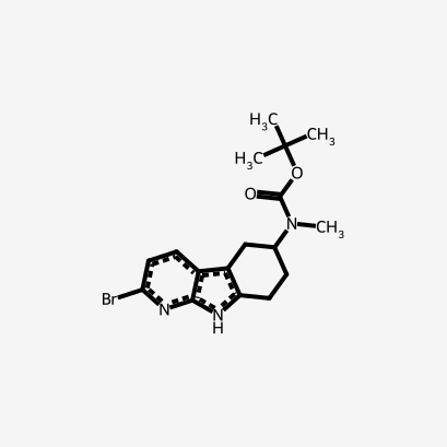 CN(C(=O)OC(C)(C)C)C1CCc2[nH]c3nc(Br)ccc3c2C1